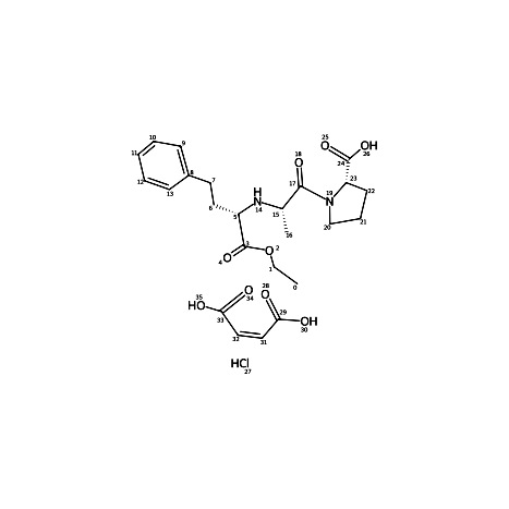 CCOC(=O)[C@H](CCc1ccccc1)N[C@@H](C)C(=O)N1CCC[C@H]1C(=O)O.Cl.O=C(O)/C=C\C(=O)O